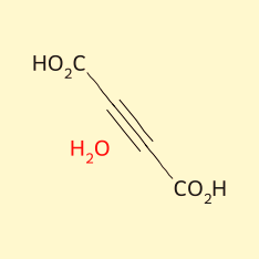 O.O=C(O)C#CC(=O)O